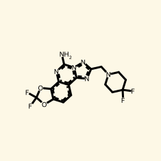 Nc1nc2c3c(ccc2c2nc(CN4CCC(F)(F)CC4)nn12)OC(F)(F)O3